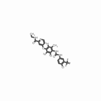 [2H]c1c([2H])c(Oc2ccnc(C(=O)NCC)c2)c([2H])c(C)c1NC(=O)Nc1ccc(Cl)c(C(F)(F)F)c1